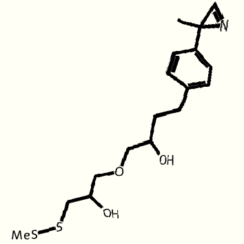 CSSCC(O)COCC(O)CCc1ccc(C2(C)C=N2)cc1